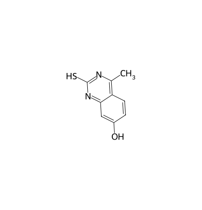 Cc1nc(S)nc2cc(O)ccc12